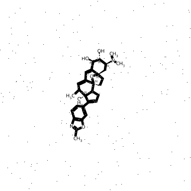 Cc1nc2ccc(C3=CCC4[C@]3(C)C(C)C=C3C=C5[C@@H](O)[C@H](O)[C@@H](N(C)C)C[C@]56CC[C@@]34O6)cc2o1